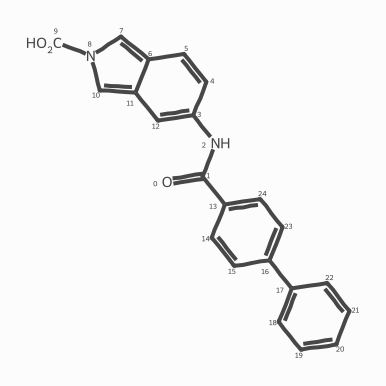 O=C(Nc1ccc2cn(C(=O)O)cc2c1)c1ccc(-c2ccccc2)cc1